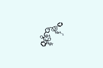 CC(C)n1c(=O)n(C(=O)NCC2CCN(CC(COc3ccccc3)OC(N)=O)CC2)c2ccccc21